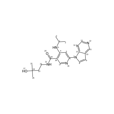 CC(C)Nc1cc(-n2ccc3cncnc32)ncc1C(=O)NCCC(C)(C)O